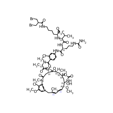 COc1cc2cc(c1Cl)N(C)C(=O)C[C@H](OC(=O)[C@H](C)N(C)C(=O)c1ccc(NC(=O)[C@H](CCCNC(N)=O)NC(=O)[C@@H](NC(C=O)CCCCNC(=O)C(CBr)CBr)C(C)C)cc1Cl)[C@]1(C)O[C@H]1[C@H](C)[C@@H]1C[C@@](O)(NC(=O)O1)[C@H](OC)/C=C/C=C(\C)C2